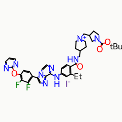 CCc1cc(Nc2nccn3c(-c4ccc(Oc5ncccn5)c(F)c4F)cnc23)ccc1C(=O)NCC1CC[N+](C)(CC2CCN(C(=O)OC(C)(C)C)C2)CC1.[I-]